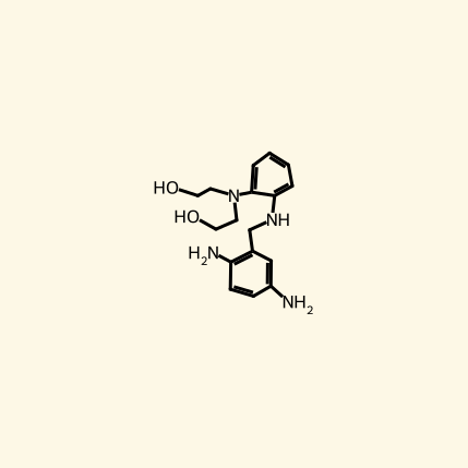 Nc1ccc(N)c(CNc2ccccc2N(CCO)CCO)c1